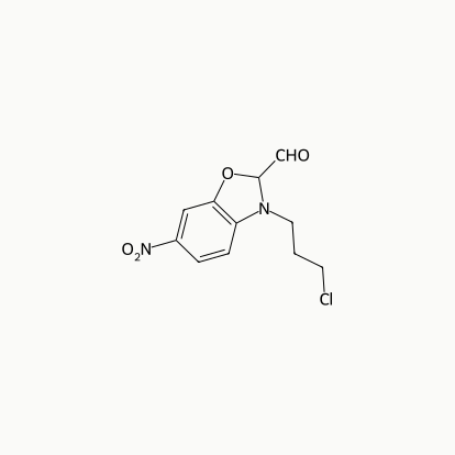 O=CC1Oc2cc([N+](=O)[O-])ccc2N1CCCCl